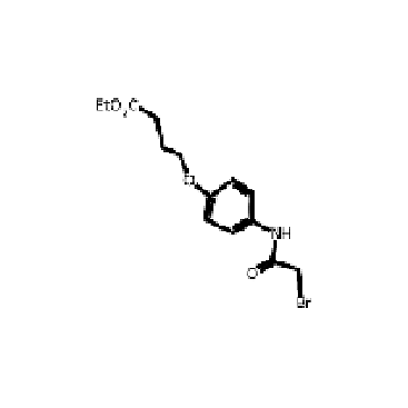 CCOC(=O)CCCOc1ccc(NC(=O)CBr)cc1